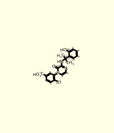 CCc1ccc(C(=O)O)cc1-n1ccnc(NC(C)(C)c2ccccc2O)c1=O